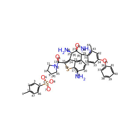 Cc1ccc(S(=O)(=O)O[C@@H]2CCN(C(=O)c3sc4c(N)ccc5c4c3[C@@H](N)C(=O)[C@@]5(N)c3ccc(Oc4ccccc4)cc3C)C2)cc1